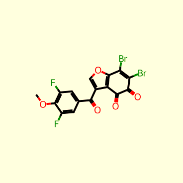 COc1c(F)cc(C(=O)c2coc3c2C(=O)C(=O)C(Br)=C3Br)cc1F